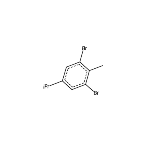 Cc1c(Br)cc(C(C)C)cc1Br